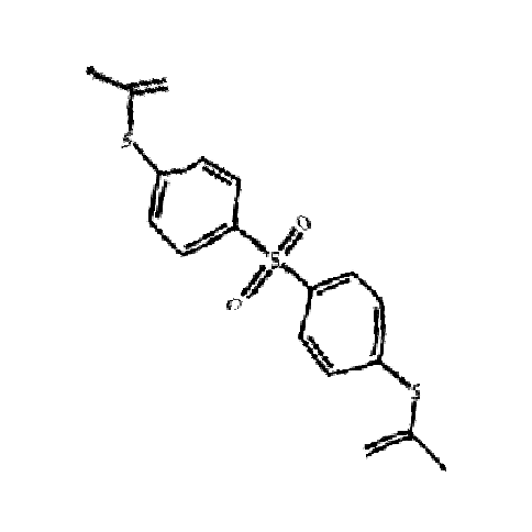 C=C(C)Sc1ccc(S(=O)(=O)c2ccc(SC(=C)C)cc2)cc1